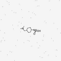 CN(C)CC1CCC(NC(=O)O)CC1